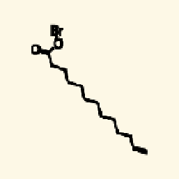 C=CCCCCCCCCCCC(=O)OBr